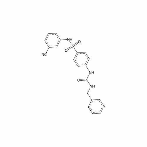 N#Cc1cccc(NS(=O)(=O)c2ccc(NC(=O)NCc3cccnc3)cc2)c1